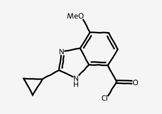 COc1ccc(C(=O)Cl)c2[nH]c(C3CC3)nc12